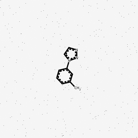 [CH2]c1cccc(-n2ccnn2)c1